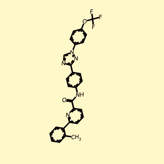 Cc1ccccc1-c1cccc(C(=O)Nc2ccc(-c3ncn(-c4ccc(OC(F)(F)F)cc4)n3)cc2)n1